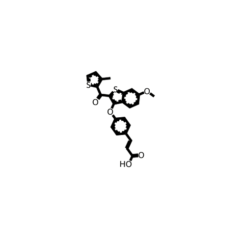 COc1ccc2c(Oc3ccc(/C=C/C(=O)O)cc3)c(C(=O)c3sccc3C)sc2c1